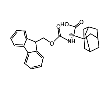 O=C(N[C@H](C(=O)O)C12CC3CC(CC(C3)C1)C2)OCC1c2ccccc2-c2ccccc21